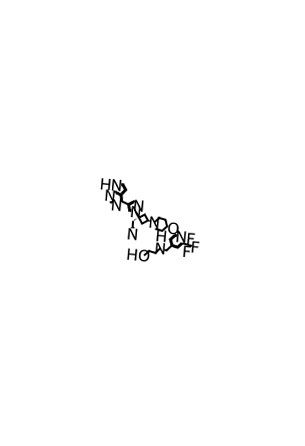 N#CC[C@]1(n2cc(-c3ncnc4[nH]ccc34)cn2)C[C@@H](N2CCC(Oc3cc(CNCCO)cc(C(F)(F)F)n3)CC2)C1